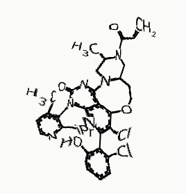 C=CC(=O)N1CC2CCOc3c(Cl)c(-c4c(O)cccc4Cl)nc4c3c(nc(=O)n4-c3c(C)ccnc3C(C)C)N2CC1C